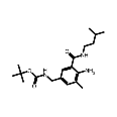 Cc1cc(CNC(=O)OC(C)(C)C)cc(C(=O)NCCC(C)C)c1N